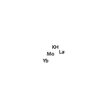 [KH].[La].[Mo].[Yb]